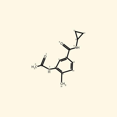 CC(=O)Nc1cc(C(=O)NC2CC2)ccc1C